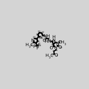 CC(=O)CCn1c(=O)c2c(n(C)c1=O)N[C@@H]2NCC(=O)Nc1cccc(-c2cnc(C)c(C(F)(F)F)c2)n1